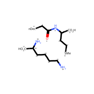 CCCCCCCCCCCC(=O)NC(CCSC)C(=O)O.NCCCCC(N)C(=O)O